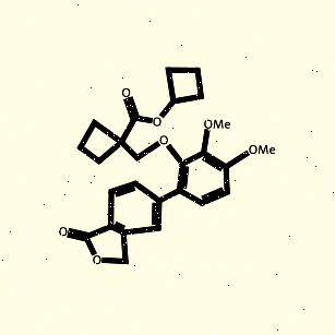 COc1ccc(-c2ccc3c(c2)COC3=O)c(OCC2(C(=O)OC3CCC3)CCC2)c1OC